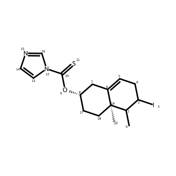 CC1C(I)CC=C2C[C@@H](OC(=S)n3ccnc3)CC[C@@]21C